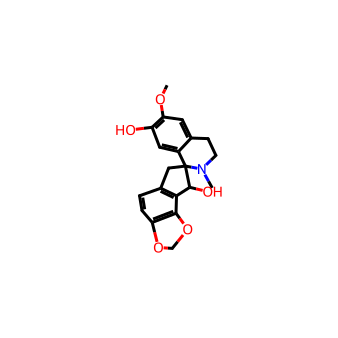 COc1cc2c(cc1O)C1(Cc3ccc4c(c3C1O)OCO4)N(C)CC2